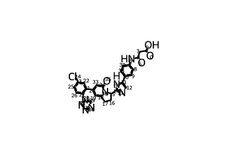 O=C(O)CC(=O)Nc1ccc(-c2cnc(C3CCc4cc(-c5cc(Cl)ccc5-n5cnnn5)cc(=O)n43)[nH]2)cc1